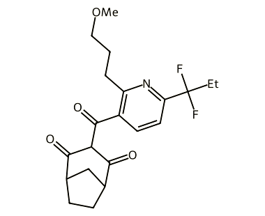 CCC(F)(F)c1ccc(C(=O)C2C(=O)C3CCC(C3)C2=O)c(CCCOC)n1